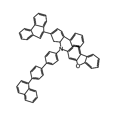 C1=C(c2cc3ccccc3c3ccccc23)CC(N(c2ccc(-c3ccc(-c4cccc5ccccc45)cc3)cc2)c2ccc3c(c2)oc2ccccc23)C(c2ccccc2)=C1